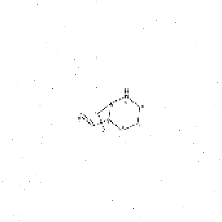 C=CC1C2CCNC1CC2